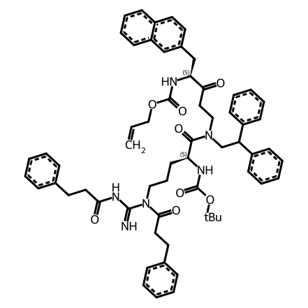 C=CCOC(=O)N[C@@H](Cc1ccc2ccccc2c1)C(=O)CCN(CC(c1ccccc1)c1ccccc1)C(=O)[C@H](CCCN(C(=N)NC(=O)CCc1ccccc1)C(=O)CCc1ccccc1)NC(=O)OC(C)(C)C